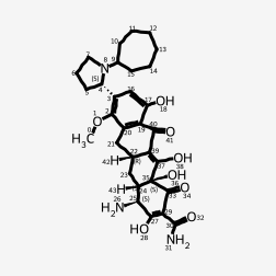 COc1c([C@@H]2CCCN2C2CCCCCC2)cc(O)c2c1C[C@H]1C[C@H]3[C@H](N)C(O)=C(C(N)=O)C(=O)[C@@]3(O)C(O)=C1C2=O